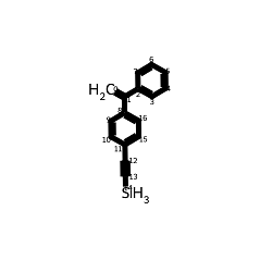 C=C(c1ccccc1)c1ccc(C#C[SiH3])cc1